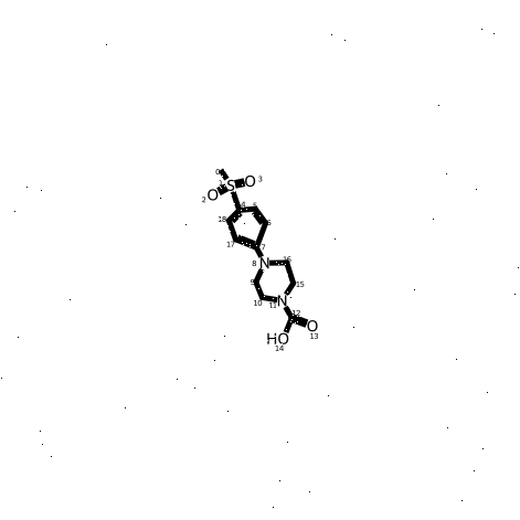 CS(=O)(=O)c1ccc(N2CCN(C(=O)O)CC2)cc1